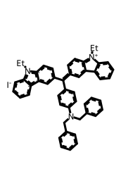 CCn1c2ccccc2c2cc(C(c3ccc(N(Cc4ccccc4)Cc4ccccc4)cc3)=c3ccc4c(c3)-c3ccccc3[N+]=4CC)ccc21.[I-]